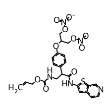 C=CCOC(=O)NCC(C(=O)Nc1cc2ccncc2s1)c1ccc(OC(CO[N+](=O)[O-])CO[N+](=O)[O-])cc1